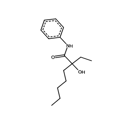 CCCCCC(O)(CC)C(=O)Nc1ccccc1